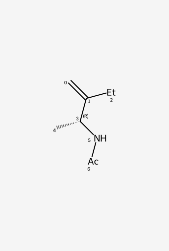 C=C(CC)[C@@H](C)NC(C)=O